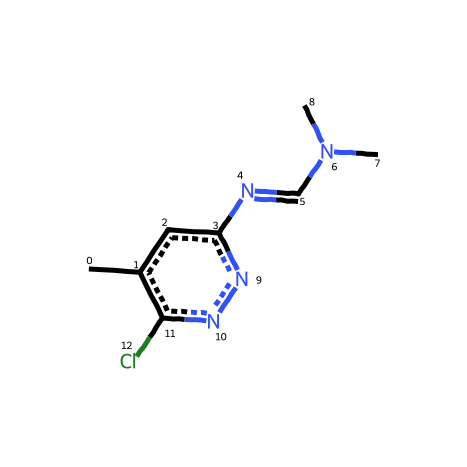 Cc1cc(N=CN(C)C)nnc1Cl